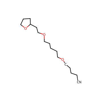 N#CCCCCOCCCCCOCCC1CCCO1